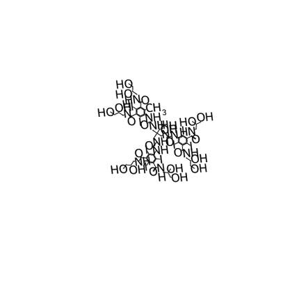 Cc1c(NC(=O)NCC(CO)(CNC(=O)Nc2c(I)c(C(=O)NCC(O)CO)c(I)c(C(=O)NCC(O)CO)c2I)CNC(=O)Nc2c(I)c(C(=O)NCC(O)CO)c(I)c(C(=O)NCC(O)CO)c2I)c(I)c(C(=O)NCC(O)CO)c(I)c1C(=O)NCC(O)CO